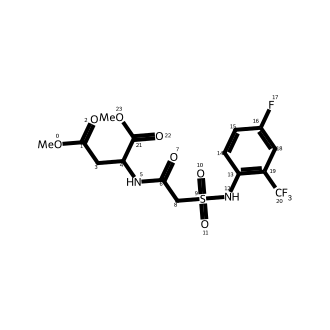 COC(=O)CC(NC(=O)CS(=O)(=O)Nc1ccc(F)cc1C(F)(F)F)C(=O)OC